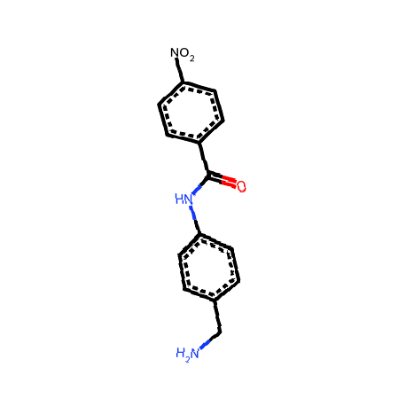 NCc1ccc(NC(=O)c2ccc([N+](=O)[O-])cc2)cc1